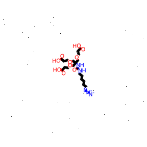 [N-]=[N+]=NCCCCCCNC(=O)NC(COCCC(=O)O)(COCCC(=O)O)COCCC(=O)O